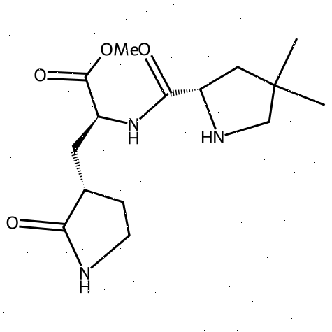 COC(=O)[C@H](C[C@@H]1CCNC1=O)NC(=O)[C@@H]1CC(C)(C)CN1